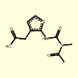 CC(=O)N(C)C(=O)Nc1sccc1CC(=O)O